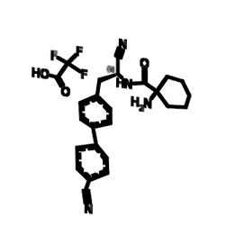 N#Cc1ccc(-c2ccc(C[C@@H](C#N)NC(=O)C3(N)CCCCC3)cc2)cc1.O=C(O)C(F)(F)F